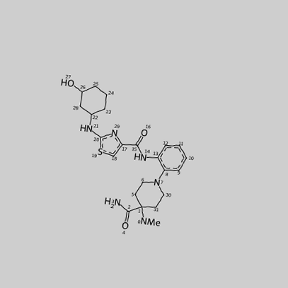 CNC1(C(N)=O)CCN(c2ccccc2NC(=O)c2csc(NC3CCCC(O)C3)n2)CC1